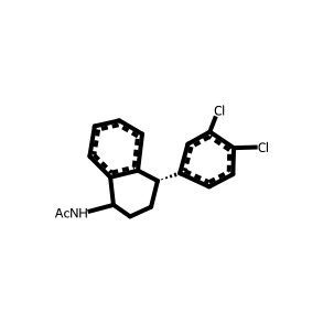 CC(=O)NC1CC[C@@H](c2ccc(Cl)c(Cl)c2)c2ccccc21